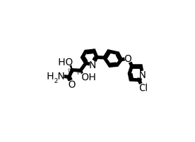 NC(=O)[C@@H](O)[C@H](O)c1cccc(-c2ccc(Oc3ccc(Cl)nc3)cc2)n1